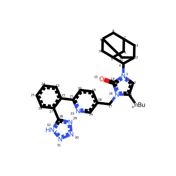 CCCCc1cn(C2C3CC4CC(C3)CC2C4)c(=O)n1Cc1ccc(-c2ccccc2-c2nnn[nH]2)nc1